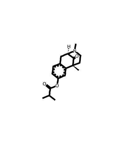 CC(C)C(=O)Oc1ccc2c(c1)[C@@]1(C)CCN(C)[C@H](C2)C1=O